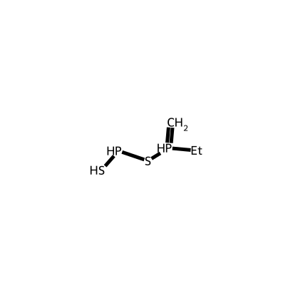 C=[PH](CC)SPS